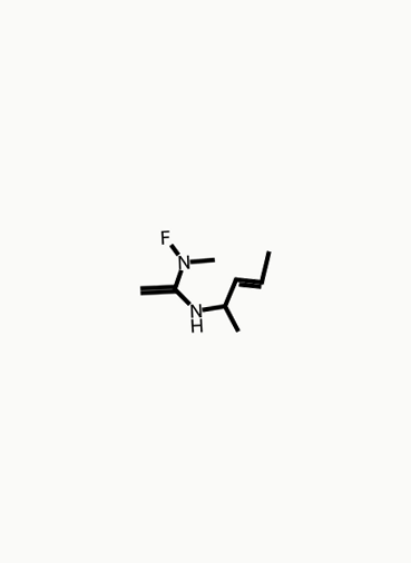 C=C(NC(C)C=CC)N(C)F